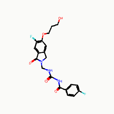 O=C(NCN1Cc2cc(OCCCO)c(F)cc2C1=O)NC(=O)c1ccc(F)cc1